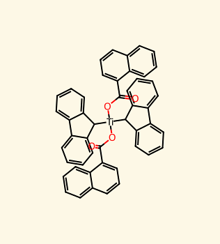 O=C([O][Ti]([O]C(=O)c1cccc2ccccc12)([CH]1c2ccccc2-c2ccccc21)[CH]1c2ccccc2-c2ccccc21)c1cccc2ccccc12